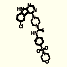 O=S(=O)(c1ccc(NC(=S)N2CCN(c3ncnc4[nH]c5ccc(Cl)cc5c34)CC2)cc1)N1CCOCC1